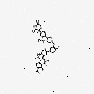 Cc1nc(N[C@H](C)c2cccc(C(F)F)c2F)c2cc(-c3ccc(F)c(CN4CCC(c5ccc([C@@]6(C)CCC(=O)NC6=O)cc5C(F)F)CC4)c3)ncc2n1